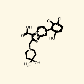 CC1(O)CCN(Cc2nc3cc(-c4c(O)ccc(Cl)c4Cl)ccn3c2C(=O)O)CC1